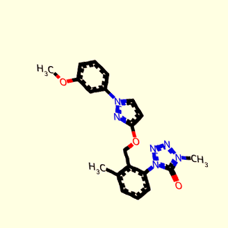 COc1cccc(-n2ccc(OCc3c(C)cccc3-n3nnn(C)c3=O)n2)c1